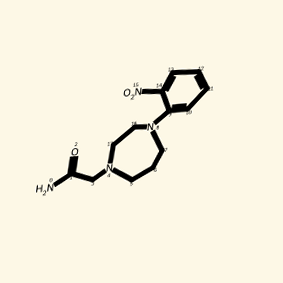 NC(=O)CN1CCCN(c2ccccc2[N+](=O)[O-])CC1